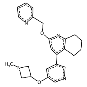 CN1CC(Oc2cncc(-c3cc(OCc4ccccn4)nc4c3CCCC4)c2)C1